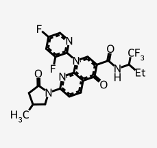 CCC(NC(=O)c1cn(-c2ncc(F)cc2F)c2nc(N3CC(C)CC3=O)ccc2c1=O)C(F)(F)F